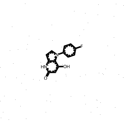 O=c1cc(O)c2c(ccn2-c2ccc(F)cc2)[nH]1